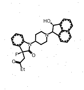 CCC(=O)C[C@@]1(F)C(=O)N(C2CCN(C3c4cccc5cccc(c45)[C@@H]3O)CC2)c2ccccc21